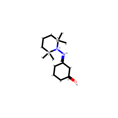 C[Si]1(C)CCC[Si](C)(C)N1N=C1CCCC(=O)C1